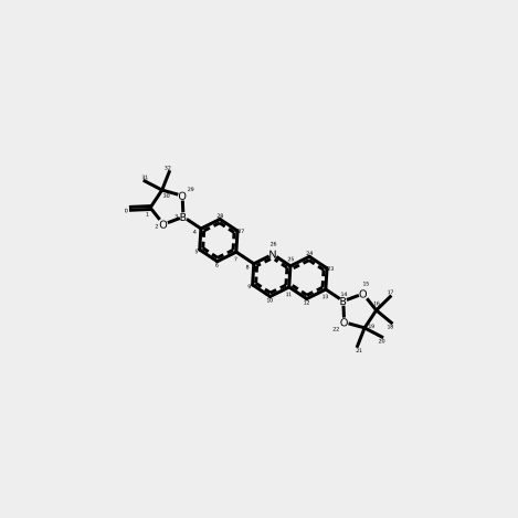 C=C1OB(c2ccc(-c3ccc4cc(B5OC(C)(C)C(C)(C)O5)ccc4n3)cc2)OC1(C)C